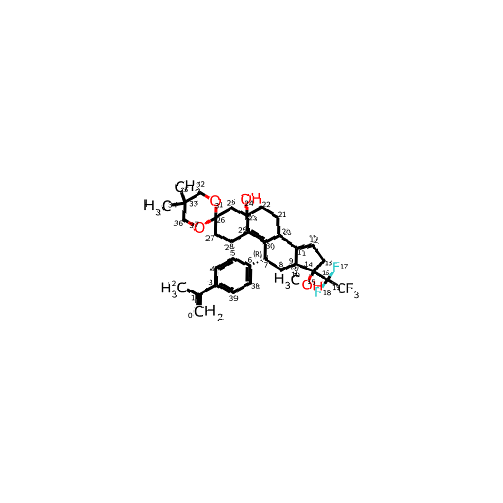 C=C(C)c1ccc([C@H]2C[C@@]3(C)C(CCC3(O)C(F)(F)C(F)(F)F)C3CCC4(O)CC5(CCC4=C32)OCC(C)(C)CO5)cc1